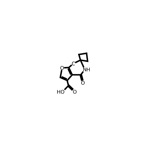 O=C(O)c1coc2c1C(=O)NC1(CCC1)C2